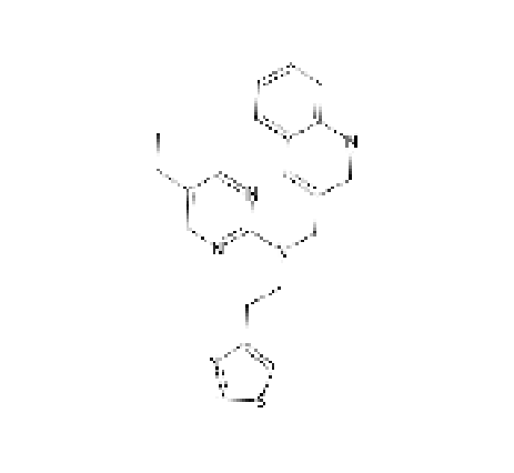 CCc1cnc(N(CCc2cs[c]n2)Cc2cnc3ccccc3c2)nc1